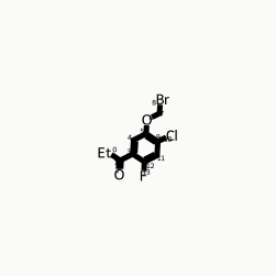 CCC(=O)c1cc(OCBr)c(Cl)cc1F